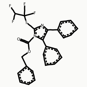 O=C(OCc1ccccc1)n1c(SC(F)(F)C(F)F)nc(-c2ccccc2)c1-c1ccccc1